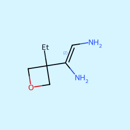 CCC1(/C(N)=C/N)COC1